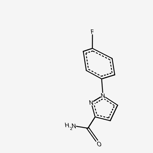 NC(=O)c1ccn(-c2ccc(F)cc2)n1